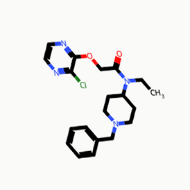 CCN(C(=O)COc1nccnc1Cl)C1CCN(Cc2ccccc2)CC1